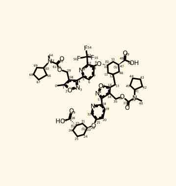 Cc1onc(-c2ccc(O[C@H]3CC(Cc4onc(-c5ccc(O[C@H]6CCC[C@H](C(=O)O)C6)cn5)c4COC(=O)N(C)C4CCCC4)C[C@H](C(=O)O)C3)c(C(F)(F)F)n2)c1COC(=O)N(C)C1CCCC1